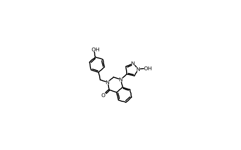 O=C1c2ccccc2N(c2cnn(O)c2)CN1Cc1ccc(O)cc1